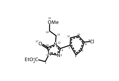 CCOC(=O)Cn1nc(-c2ccc(Cl)cc2)n(CCOC)c1=O